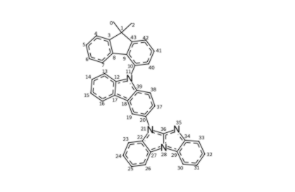 CC1(C)c2ccccc2-c2c(-n3c4ccccc4c4cc(-n5c6ccccc6n6c7ccccc7nc56)ccc43)cccc21